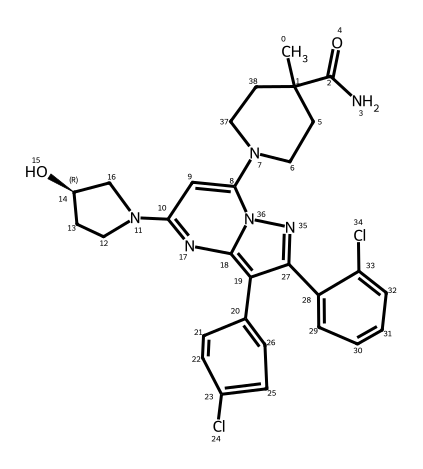 CC1(C(N)=O)CCN(c2cc(N3CC[C@@H](O)C3)nc3c(-c4ccc(Cl)cc4)c(-c4ccccc4Cl)nn23)CC1